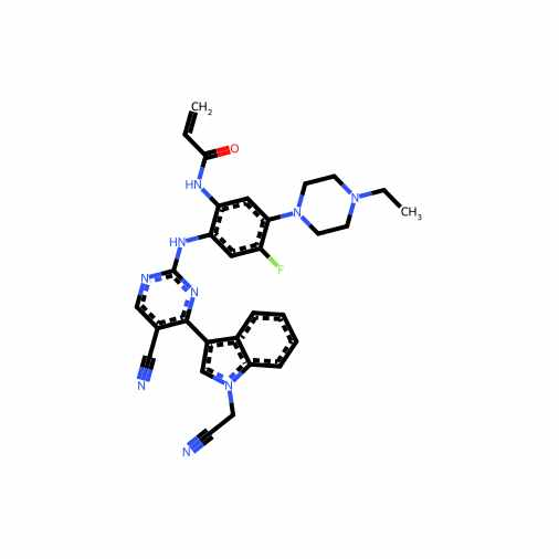 C=CC(=O)Nc1cc(N2CCN(CC)CC2)c(F)cc1Nc1ncc(C#N)c(-c2cn(CC#N)c3ccccc23)n1